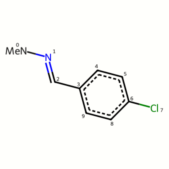 CNN=Cc1ccc(Cl)cc1